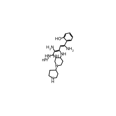 CCCNC(=N)/C(N)=C(/C=C(\N)c1ccccc1O)NC1CCN(C2CCNCC2)CC1